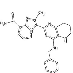 Cc1nc2c(C(N)=O)cccn2c1-c1nc2c(c(NCc3ccccc3)n1)NCCC2